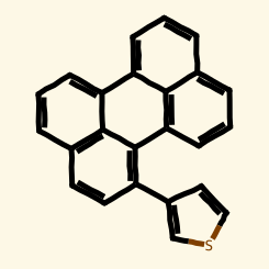 c1cc2cccc3c4c(-c5ccsc5)ccc5cccc(c(c1)c23)c54